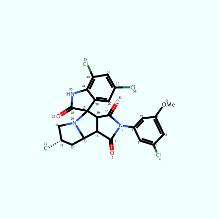 COc1cc(Cl)cc(N2C(=O)C3C4C[C@H](Cl)CN4C4(C(=O)Nc5c(Cl)cc(Cl)cc54)C3C2=O)c1